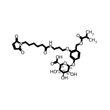 CC(C)C(=O)OCc1ccc(O[C@@H]2O[C@H](C(=O)O)[C@@H](O)[C@H](O)[C@H]2O)cc1OCCCNC(=O)CCCCCN1C(=O)C=CC1=O